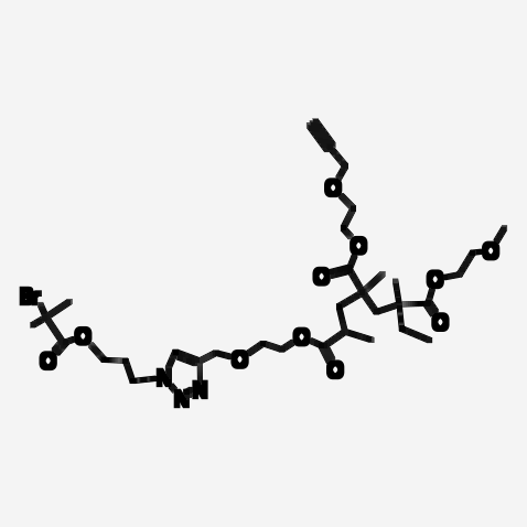 C#CCOCCOC(=O)C(C)(CC(C)C(=O)OCCOCc1cn(CCCOC(=O)C(C)(C)Br)nn1)CC(C)(CC)C(=O)OCCOC